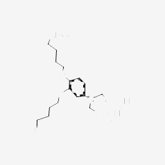 CCCCCCCCCCCCCCOc1ccc(N(CC(=O)O)CC(=O)O)cc1OCCCCCCCCCCCCCC